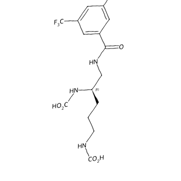 O=C(O)NCCC[C@H](CNC(=O)c1cc(C(F)(F)F)cc(C(F)(F)F)c1)NC(=O)O